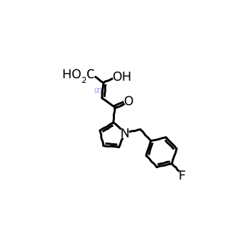 O=C(O)/C(O)=C/C(=O)c1cccn1Cc1ccc(F)cc1